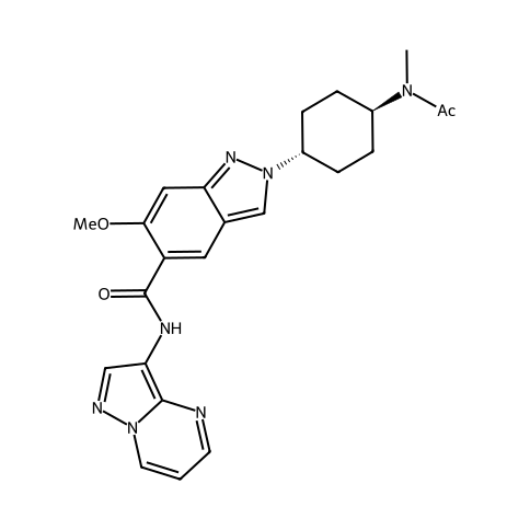 COc1cc2nn([C@H]3CC[C@H](N(C)C(C)=O)CC3)cc2cc1C(=O)Nc1cnn2cccnc12